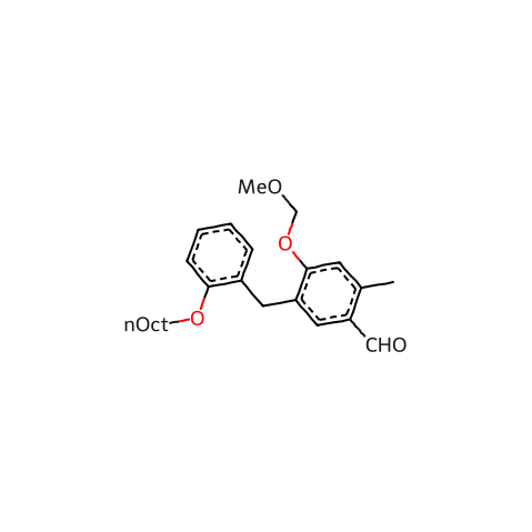 CCCCCCCCOc1ccccc1Cc1cc(C=O)c(C)cc1OCOC